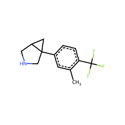 Cc1cc(C23CNCC2C3)ccc1C(F)(F)F